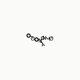 COC(C)(C)CCN1CCC(N(CC=C(C)C)c2ccc(OCc3ccccc3)cc2)C1